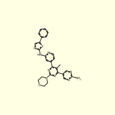 Cc1c(-c2cnc(N)nc2)nc(N2CCOCC2)nc1-c1ccnc(Nc2ncc(-c3ccccc3)s2)c1